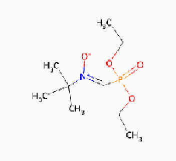 CCOP(=O)(C=[N+]([O-])C(C)(C)C)OCC